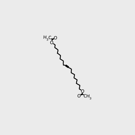 CC(=O)OCCCCCCCCC#CCCCCCCCCOC(C)=O